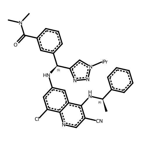 CC(C)n1cc([C@@H](Nc2cc(Cl)c3ncc(C#N)c(N[C@H](C)c4ccccc4)c3c2)c2cccc(C(=O)N(C)C)c2)nn1